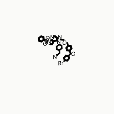 N#CCC1CCC(n2c(COCc3ccc(C(=O)c4ccc(Br)cc4)cc3)nc3cnc4c(ccn4S(=O)(=O)c4ccccc4)c32)CC1